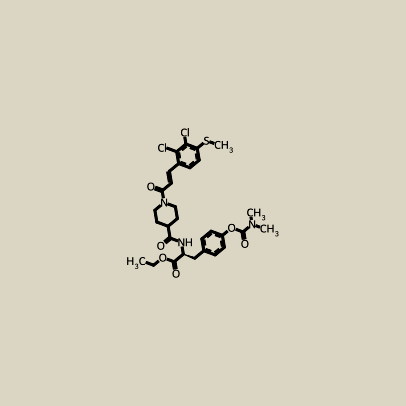 CCOC(=O)[C@H](Cc1ccc(OC(=O)N(C)C)cc1)NC(=O)C1CCN(C(=O)/C=C/c2ccc(SC)c(Cl)c2Cl)CC1